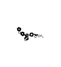 C=CC(=O)C[C@H]1CC[C@H](n2nc(-c3ccc(Oc4ccccc4)cc3)c3cncnc32)CC1